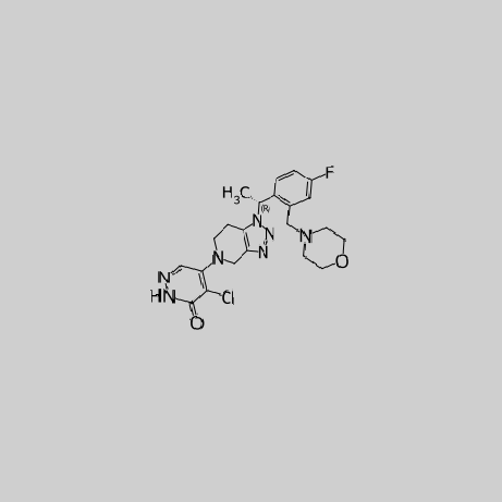 C[C@H](c1ccc(F)cc1CN1CCOCC1)n1nnc2c1CCN(c1cn[nH]c(=O)c1Cl)C2